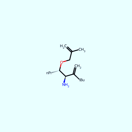 C=C(C)CO[C@@H](CCC)[C@H](N)C(=C)C(C)CC